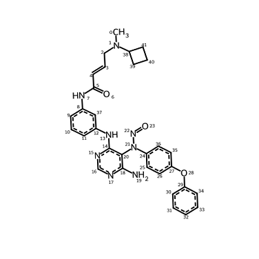 CN(C/C=C/C(=O)Nc1cccc(Nc2ncnc(N)c2N(N=O)c2ccc(Oc3ccccc3)cc2)c1)C1CCC1